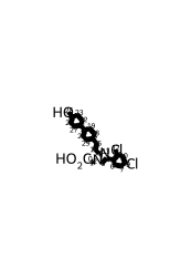 O=C(O)Cn1cc(-c2ccc(Cl)cc2Cl)nc1C=Cc1ccc(-c2ccc(O)cc2)cc1